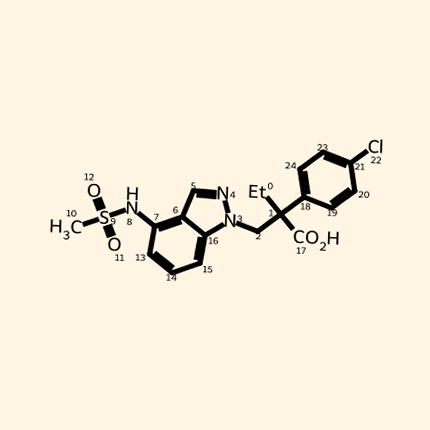 CCC(Cn1ncc2c(NS(C)(=O)=O)cccc21)(C(=O)O)c1ccc(Cl)cc1